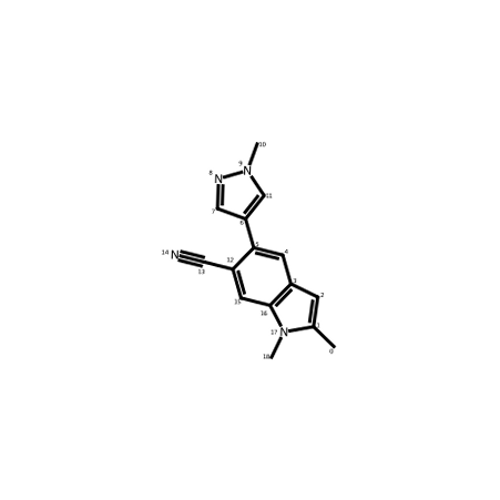 Cc1cc2cc(-c3cnn(C)c3)c(C#N)cc2n1C